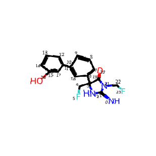 N=C1NC(CF)(c2cccc(-c3cccc(O)c3)c2)C(=O)N1CF